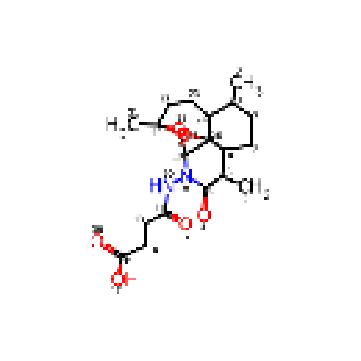 CC1CCC2C(C)C(=O)N(NC(=O)CCC(=O)O)C3OC4(C)CCC1C23OO4